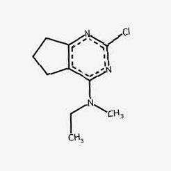 CCN(C)c1nc(Cl)nc2c1CCC2